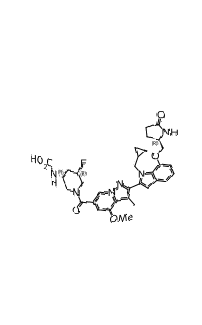 COc1cc(C(=O)N2C[C@H](F)C[C@@H](NC(=O)O)C2)cn2nc(-c3cc4cccc(OC[C@H]5CCC(=O)N5)c4n3CC3CC3)c(C)c12